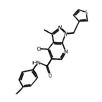 Cc1ccc(NC(=O)c2cnc3c(c(C)nn3Cc3ccsc3)c2Cl)cc1